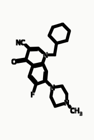 CN1CCN(c2cc3c(cc2F)c(=O)c(C#N)cn3CC2CCCCC2)CC1